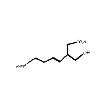 CCCCCCCCCCCC(CO)CC(=O)O